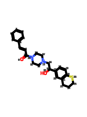 O=C(C=Cc1ccccc1)N1CCN(CC(O)c2ccc3c(c2)CCCS3)CC1